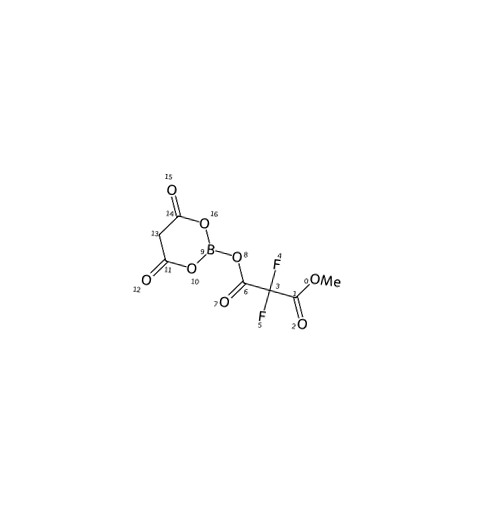 COC(=O)C(F)(F)C(=O)OB1OC(=O)CC(=O)O1